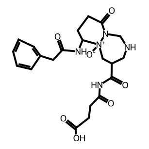 O=C(O)CCC(=O)NC(=O)C1CNCN2C(=O)CCC(NC(=O)Cc3ccccc3)[N+]2([O-])C1